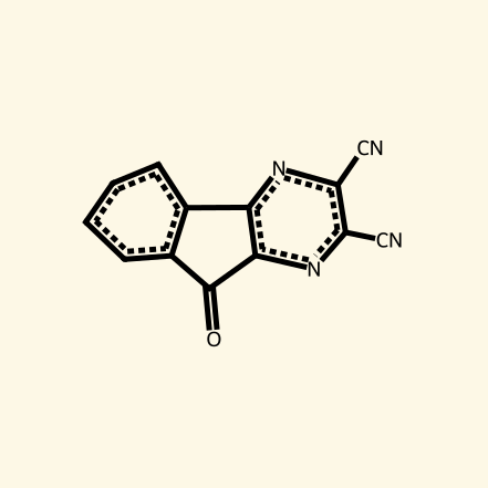 N#Cc1nc2c(nc1C#N)-c1ccccc1C2=O